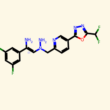 N/C(=C\N(N)Cc1ccc(-c2nnc(C(F)F)o2)cn1)c1cc(F)cc(F)c1